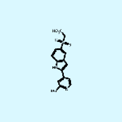 CC(C)(C)c1cc(-c2cc3cc(S(=O)(=O)CC(=O)O)ccc3[nH]2)ccn1